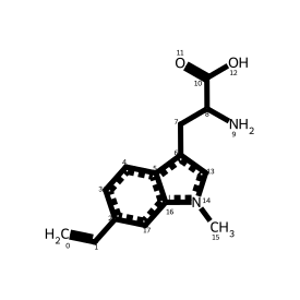 C=Cc1ccc2c(CC(N)C(=O)O)cn(C)c2c1